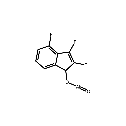 [O]=[Al][O]C1C(F)=C(F)c2c(F)cccc21